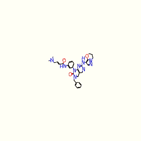 CN(C)C/C=C/C(=O)Nc1cccc(N2C(=O)N(Cc3ccccc3)Cc3cnc(Nc4cnn5c4OCCC5)nc32)c1